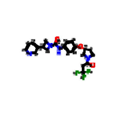 O=C(CC(F)(F)F)N1CC[C@@H](Oc2ccc(NC(=O)N3CC(c4cccnc4)C3)cc2)C1